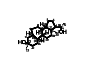 C[C@H](O)C1CC[C@H]2[C@@H]3CC[C@@H]4C[C@](C)(O)CC[C@@H]4[C@H]3CC[C@]12C